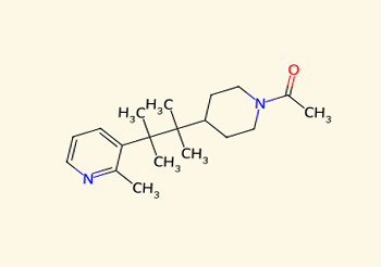 CC(=O)N1CCC(C(C)(C)C(C)(C)c2cccnc2C)CC1